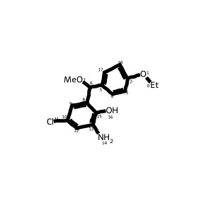 CCOc1ccc(C(OC)c2cc(Cl)cc(N)c2O)cc1